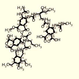 CCCNC(=O)N(OC(=O)c1cc(NC(=O)N/C(CNC(=O)Nc2cc(C(=O)O)c(C(=O)O)cc2NC(=O)NC)=C(\C)CC)c(NC(N)=O)cc1C(=O)OC)c1cc(C(=O)O)c(C(=O)O)cc1NC(=O)NCc1c(CC)cc(CC)c(C)c1CC